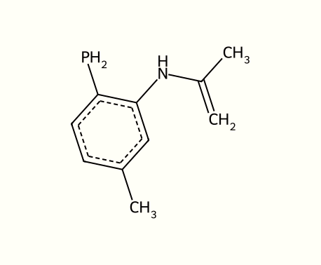 C=C(C)Nc1cc(C)ccc1P